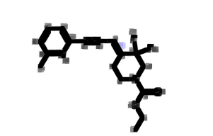 CCOC(=O)N1CC/C(=C\C#Cc2cccc(C)n2)C(F)(F)C1